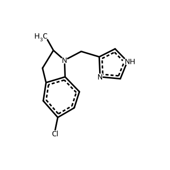 CC1Cc2cc(Cl)ccc2N1Cc1c[nH]cn1